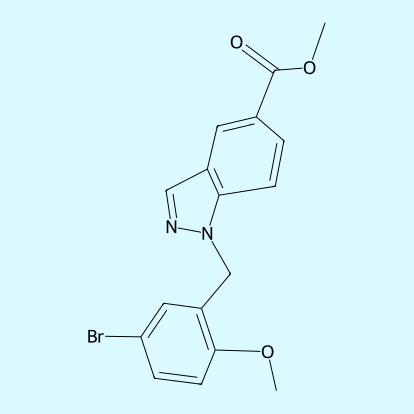 COC(=O)c1ccc2c(cnn2Cc2cc(Br)ccc2OC)c1